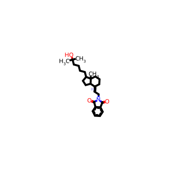 CC(C)(O)CCCCC1CCC2/C(=C/CN3C(=O)c4ccccc4C3=O)CCCC12C